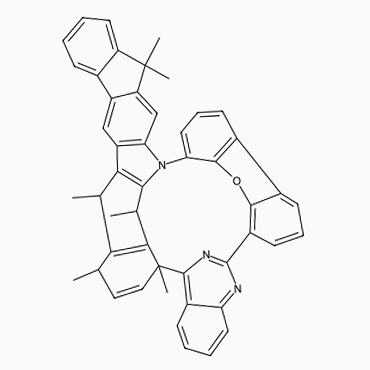 CC1C=CC2(C)C3=C1C(C)c1c(n(c4cc5c(cc14)-c1ccccc1C5(C)C)-c1cccc4c1oc1c(cccc14)-c1nc2c2ccccc2n1)C3C